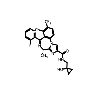 C[C@@H]1N=C(c2ncccc2F)c2c(ccc(C(F)(F)F)c2Cl)-n2cc(C(=O)NCC3(O)CC3)nc21